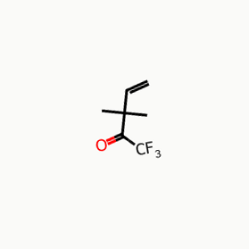 C=CC(C)(C)C(=O)C(F)(F)F